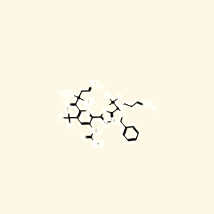 C=CCC[C@@](OCc1ccccc1)(c1nnc(-c2nc(C(=O)C(C)(C)CC=C)c(C(F)(F)F)cc2NC(=O)O)o1)C(F)(F)F